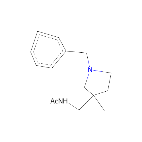 CC(=O)NCC1(C)CCN(Cc2ccccc2)C1